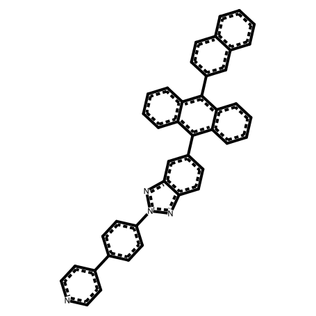 c1ccc2cc(-c3c4ccccc4c(-c4ccc5nn(-c6ccc(-c7ccncc7)cc6)nc5c4)c4ccccc34)ccc2c1